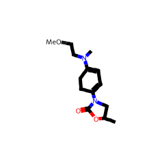 COCCN(C)C1=CC=C(N2CC(C)OC2=O)CC1